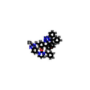 CCc1nc2ccc(N3CCCN(Cc4ccccc4)C3=O)cc2n1Cc1ccc(-c2ccccc2-c2nnnn2C(c2ccccc2)(c2ccccc2)c2ccccc2)cc1